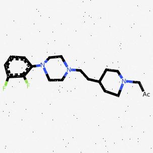 CC(=O)CN1CCC(CCN2CCN(c3cccc(F)c3F)CC2)CC1